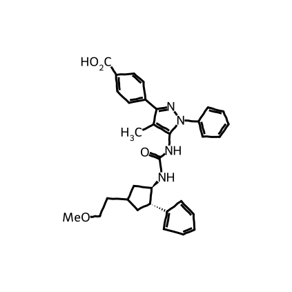 COCCC1C[C@@H](NC(=O)Nc2c(C)c(-c3ccc(C(=O)O)cc3)nn2-c2ccccc2)[C@H](c2ccccc2)C1